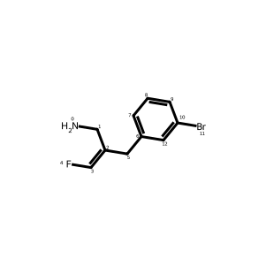 NC/C(=C\F)Cc1cccc(Br)c1